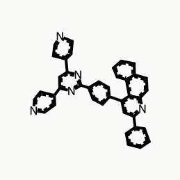 c1ccc(-c2cc(-c3ccc(-c4nc(-c5ccncc5)cc(-c5ccncc5)n4)cc3)c3c(ccc4ccccc43)n2)cc1